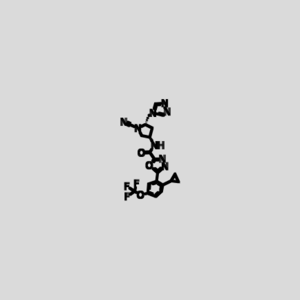 N#CN1C[C@H](NC(=O)c2nnc(-c3cc(OC(F)(F)F)ccc3C3CC3)o2)C[C@H]1Cn1cnnc1